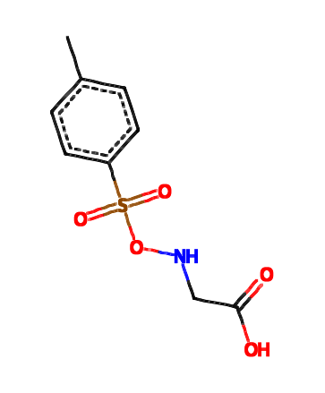 Cc1ccc(S(=O)(=O)ONCC(=O)O)cc1